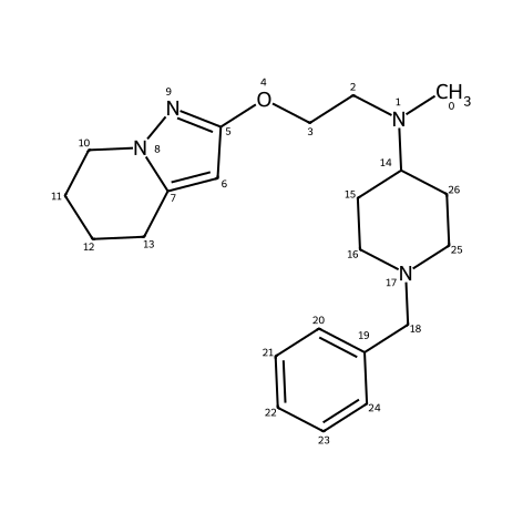 CN(CCOc1cc2n(n1)CCCC2)C1CCN(Cc2ccccc2)CC1